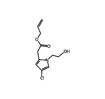 C=CCOC(=O)Cc1cc(Cl)cn1CCO